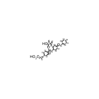 O=C(O)C(F)(F)F.O=C(O)[C@@H]1C[C@H]1c1ccc(NCc2ccc(OCc3ccccc3)cc2)cc1